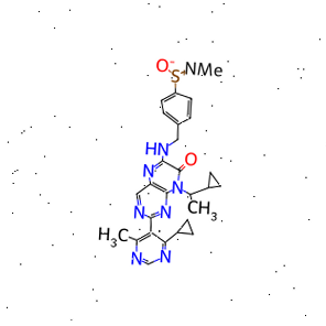 CN[S+]([O-])c1ccc(CNc2nc3cnc(-c4c(C)ncnc4C4CC4)nc3n(C(C)C3CC3)c2=O)cc1